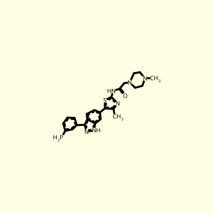 Cc1nc(NC(=O)CN2CCN(C)CC2)sc1-c1ccc2c(-c3cccc(P)c3)n[nH]c2c1